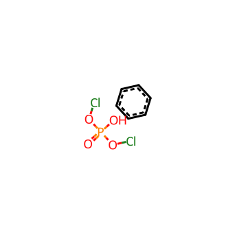 O=P(O)(OCl)OCl.c1ccccc1